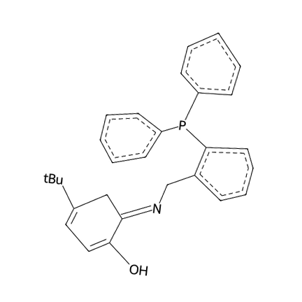 CC(C)(C)C1=CC=C(O)C(=NCc2ccccc2P(c2ccccc2)c2ccccc2)C1